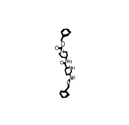 O=C(NC1CCN(C(=O)OCc2ccccc2)CC1)C1CCC(NOCc2ccccc2)CN1